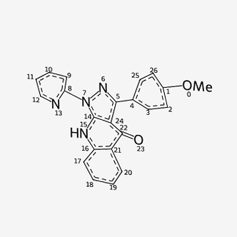 COc1ccc(-c2nn(-c3ccccn3)c3[nH]c4ccccc4c(=O)c23)cc1